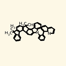 CC1(C)c2ccccc2-c2c1ccc1c2-c2ccc3c(c2C1(C)C)c1ccccc1n3-c1ccccc1-c1cccc2cccnc12